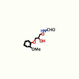 COc1ccccc1OCC(O)CONC=O